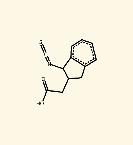 O=C(O)CC1Cc2ccccc2C1N=C=S